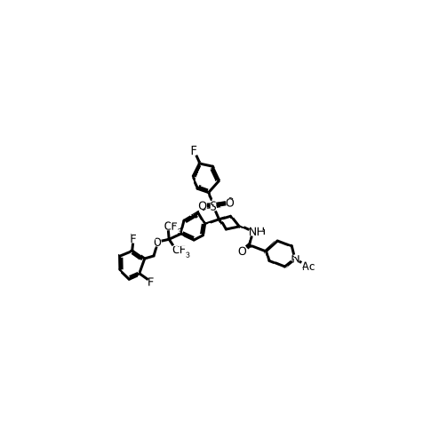 CC(=O)N1CCC(C(=O)NC2CC(c3ccc(C(OCc4c(F)cccc4F)(C(F)(F)F)C(F)(F)F)cc3)(S(=O)(=O)c3ccc(F)cc3)C2)CC1